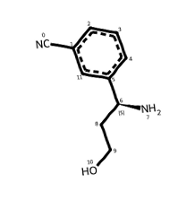 N#Cc1cccc([C@@H](N)CCO)c1